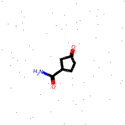 NC(=O)C1CCC(=O)C1